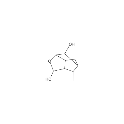 CC1C2CC3C(OC(O)C13)C2O